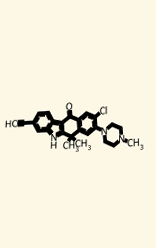 C#Cc1ccc2c3c([nH]c2c1)C(C)(C)c1cc(N2CCN(C)CC2)c(Cl)cc1C3=O